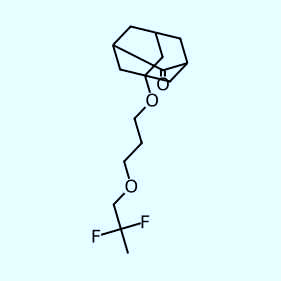 CC(F)(F)COCCCOC12CC3CC(C1)C(=O)C(C3)C2